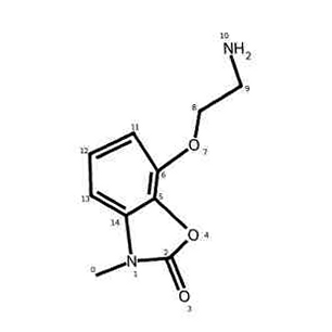 Cn1c(=O)oc2c(OCCN)cccc21